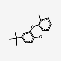 Cc1ccccc1Oc1cc(C(C)(C)C)ccc1[O]